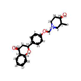 CC1CN(COc2ccc(C3CC(=O)c4ccccc4O3)cc2)CCC1=O